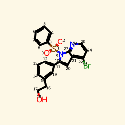 O=S(=O)(c1ccccc1)n1c(-c2cccc(CCO)c2)cc2c(Br)ccnc21